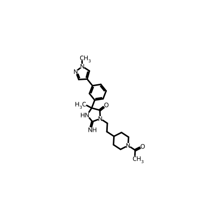 CC(=O)N1CCC(CCN2C(=N)NC(C)(c3cccc(-c4cnn(C)c4)c3)C2=O)CC1